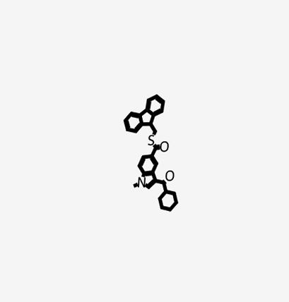 Cn1cc(C(=O)C2CCCCC2)c2cc(C(=O)SCC3c4ccccc4-c4ccccc43)ccc21